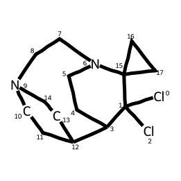 ClC1(Cl)C2CCN(CCN3CCC2CC3)C12CC2